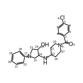 O=C(c1ccc(Cl)cc1)N1CCC(NC2CN(c3ccccc3)CC2O)CC1